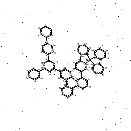 c1ccc(-c2ccc(-c3nc(-c4ccccc4)nc(-c4ccc5c(c4)c4ccccc4c4cccc(-c6ccc7c(c6)C(c6ccccc6)(c6ccccc6)c6ccccc6-7)c45)n3)cc2)cc1